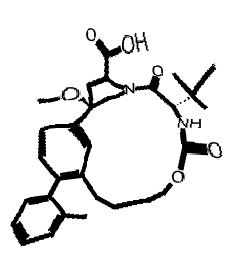 CO[C@@]12CC(C(=O)O)N(C1)C(=O)[C@H](C(C)(C)C)NC(=O)OCCCCc1cc2ccc1-c1ccccc1C